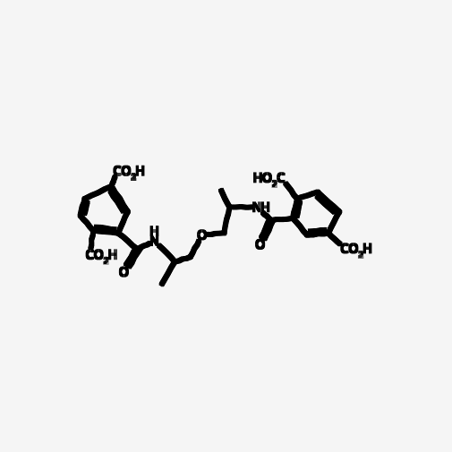 CC(COCC(C)NC(=O)c1cc(C(=O)O)ccc1C(=O)O)NC(=O)c1cc(C(=O)O)ccc1C(=O)O